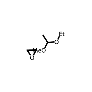 C1CO1.CCOC(C)OC